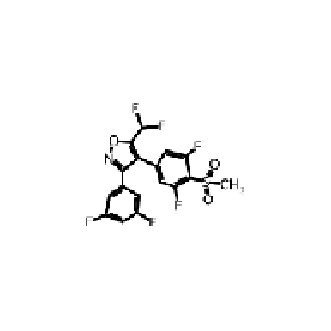 CS(=O)(=O)c1c(F)cc(-c2c(-c3cc(F)cc(F)c3)noc2C(F)F)cc1F